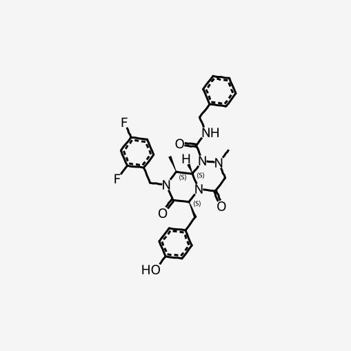 C[C@H]1[C@H]2N(C(=O)CN(C)N2C(=O)NCc2ccccc2)[C@@H](Cc2ccc(O)cc2)C(=O)N1Cc1ccc(F)cc1F